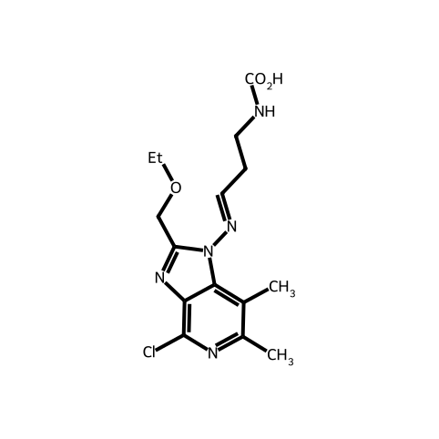 CCOCc1nc2c(Cl)nc(C)c(C)c2n1N=CCCNC(=O)O